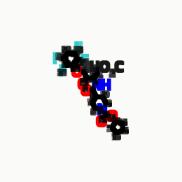 O=C(O)CC(NC(=O)C1CCN(C(=O)OC2CCCC2)CC1)C(=O)COc1c(F)c(F)cc(F)c1F